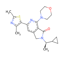 Cc1nc(C)c(-c2cc3c(c(N4CCOCC4)n2)C(=O)N([C@H](C)C2CC2)C3)s1